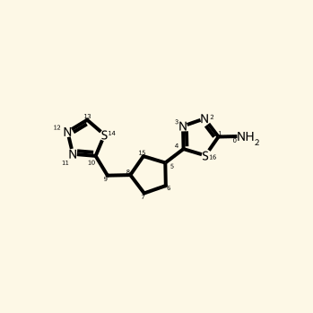 Nc1nnc(C2CCC(Cc3nncs3)C2)s1